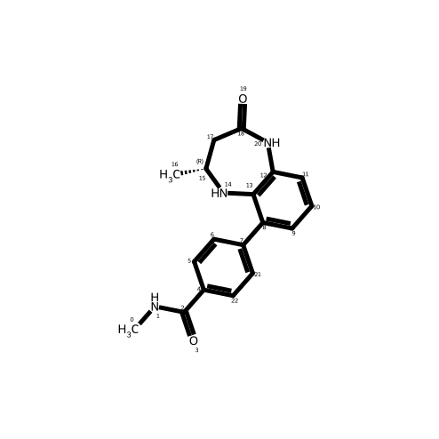 CNC(=O)c1ccc(-c2cccc3c2N[C@H](C)CC(=O)N3)cc1